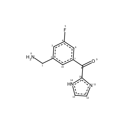 NCc1cc(F)cc(C(=O)c2ncc[nH]2)c1